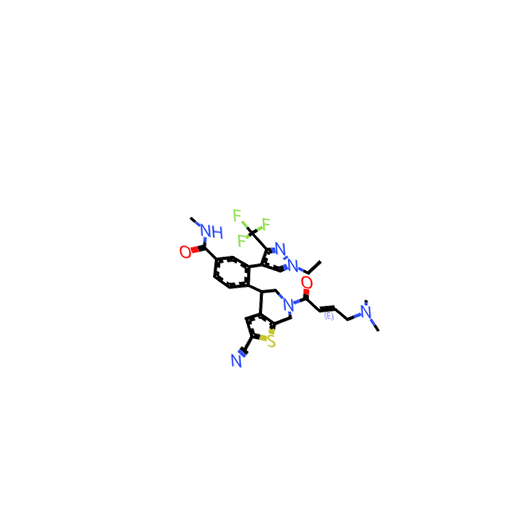 CCn1cc(-c2cc(C(=O)NC)ccc2C2CN(C(=O)/C=C/CN(C)C)Cc3sc(C#N)cc32)c(C(F)(F)F)n1